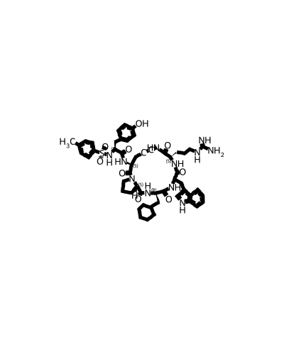 Cc1ccc(S(=O)(=O)N[C@@H](Cc2ccc(O)cc2)C(=O)N[C@H]2CCCNC(=O)[C@H](CCCNC(=N)N)NC(=O)C(Cc3c[nH]c4ccccc34)NC(=O)[C@@H](CC3CCCCC3)NC(=O)[C@@H]3CCCN3C2=O)cc1